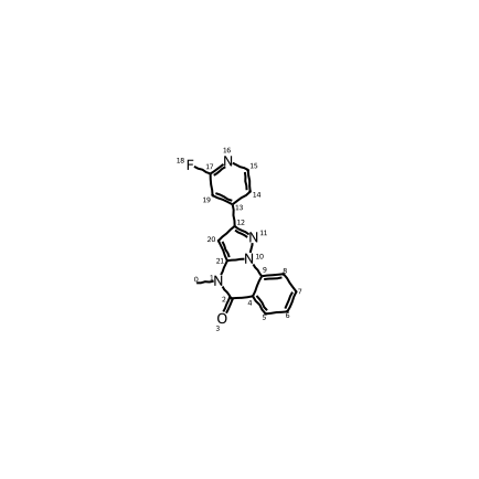 Cn1c(=O)c2ccccc2n2nc(-c3ccnc(F)c3)cc12